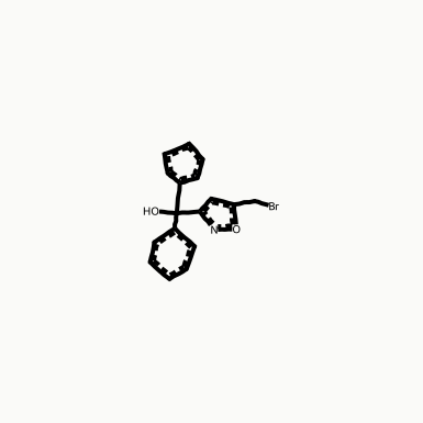 OC(c1ccccc1)(c1ccccc1)c1cc(CBr)on1